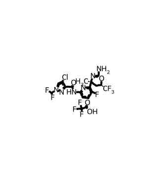 C[C@@]1(c2nc(NC(=O)c3nn(C(F)F)cc3Cl)ccc2F)C[C@@H](C(F)(F)F)OC(N)=N1.O=C(O)C(F)(F)F